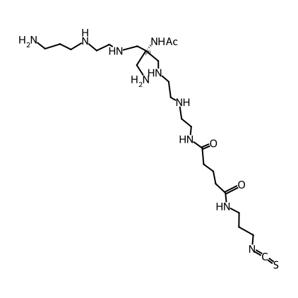 CC(=O)N[C@](CN)(CNCCNCCCN)CNCCNCCNC(=O)CCCC(=O)NCCCN=C=S